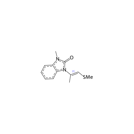 CS/C=C(\C)n1c(=O)n(C)c2ccccc21